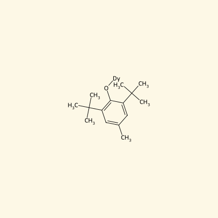 Cc1cc(C(C)(C)C)c([O][Dy])c(C(C)(C)C)c1